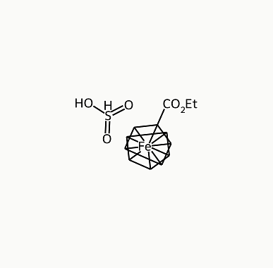 CCOC(=O)[C]12[CH]3[CH]4[CH]5[CH]1[Fe]45321678[CH]2[CH]1[CH]6[CH]7[CH]28.O=[SH](=O)O